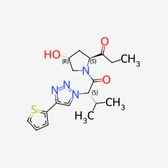 CCC(=O)[C@@H]1C[C@@H](O)CN1C(=O)[C@H](C(C)C)n1cc(-c2cccs2)nn1